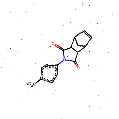 O=C(O)c1ccc(N2C(=O)C3C4C=CC(C4)C3C2=O)cc1